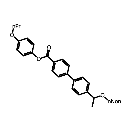 CCCCCCCCCOC(C)c1ccc(-c2ccc(C(=O)Oc3ccc(OCCC)cc3)cc2)cc1